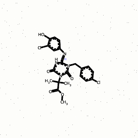 COC(=O)C(C)(C)n1c(=O)[nH]/c(=N\c2ccc(O)c(Cl)c2)n(Cc2ccc(Cl)cc2)c1=O